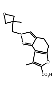 Cc1c(C(=O)O)oc2c1-c1nn(CC3(C)COC3)cc1CC2